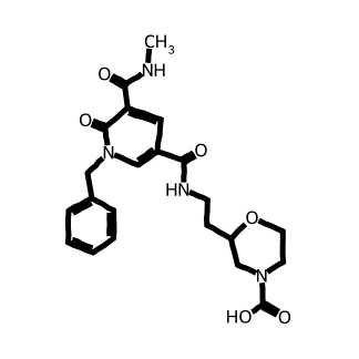 CNC(=O)c1cc(C(=O)NCCC2CN(C(=O)O)CCO2)cn(Cc2ccccc2)c1=O